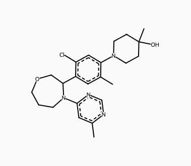 Cc1cc(N2CCCOCC2c2cc(C)c(N3CCC(C)(O)CC3)cc2Cl)ncn1